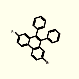 Brc1ccc2c(c1)c(-c1ccccc1)c(-c1ccccc1)c1cc(Br)ccc12